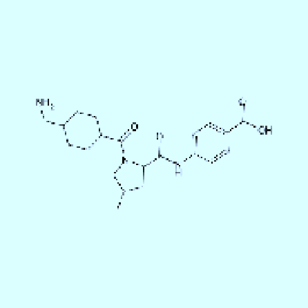 CC1CC(C(=O)Nc2ccc(C(=O)O)cc2)N(C(=O)C2CCC(CN)CC2)C1